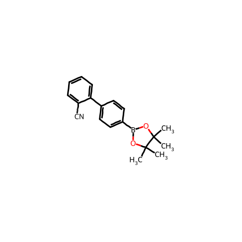 CC1(C)OB(c2ccc(-c3ccccc3C#N)cc2)OC1(C)C